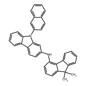 CC1(C)c2ccccc2-c2c(Nc3ccc4c5ccccc5n(-c5ccc6ccccc6c5)c4c3)cccc21